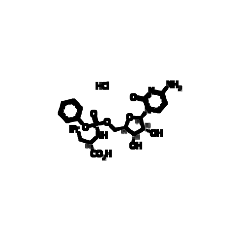 CC(C)C[C@H](NP(=O)(OC[C@H]1O[C@@H](n2ccc(N)nc2=O)[C@H](O)[C@@H]1O)Oc1ccccc1)C(=O)O.Cl